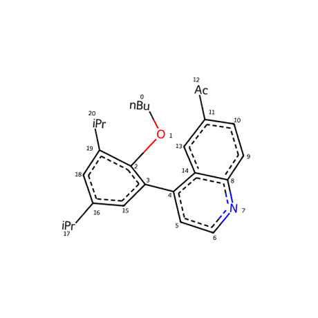 CCCCOc1c(-c2ccnc3ccc(C(C)=O)cc23)cc(C(C)C)cc1C(C)C